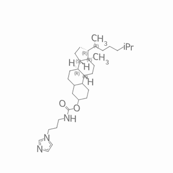 CC(C)CCC[C@@H](C)[C@H]1CC[C@H]2[C@@H]3CCC4CC(OC(=O)NCCCn5ccnc5)CCC4[C@H]3CC[C@]12C